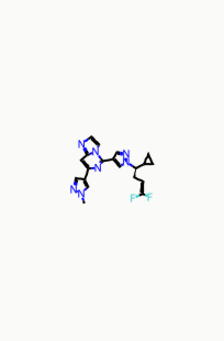 Cn1cc(-c2cc3nccn3c(-c3cnn([C@H](CC=C(F)F)C4CC4)c3)n2)cn1